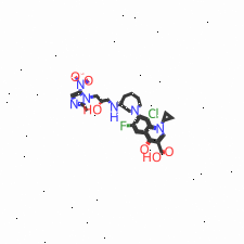 Cc1ncc([N+](=O)[O-])n1CC(O)CN[C@H]1CCCCN(c2c(F)cc3c(=O)c(C(=O)O)cn(C4CC4)c3c2Cl)C1